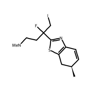 CNCCC(F)(CI)c1nc2c(s1)C[C@H](C)C=C2